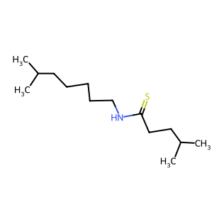 CC(C)CCCCCNC(=S)CCC(C)C